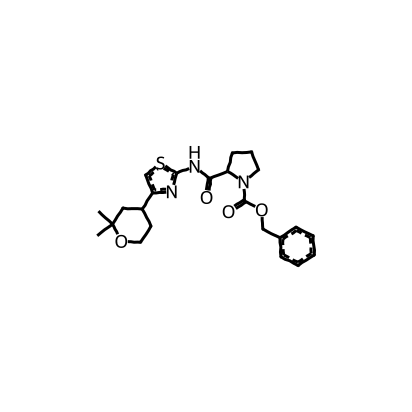 CC1(C)CC(c2csc(NC(=O)C3CCCN3C(=O)OCc3ccccc3)n2)CCO1